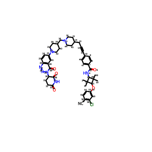 CC1(C)C(NC(=O)c2ccc(C#CCC3CCN(CC4CCN(c5ccc6nnn(C7CCC(=O)NC7=O)c(=O)c6c5)CC4)CC3)cc2)C(C)(C)C1Oc1ccc(C#N)c(Cl)c1